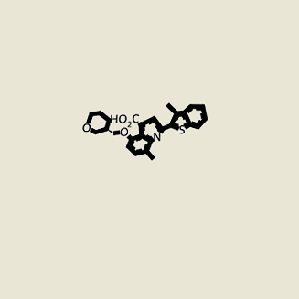 Cc1c(-c2cc(C(=O)O)c3c(OC[C@H]4CCCOC4)ccc(C)c3n2)sc2ccccc12